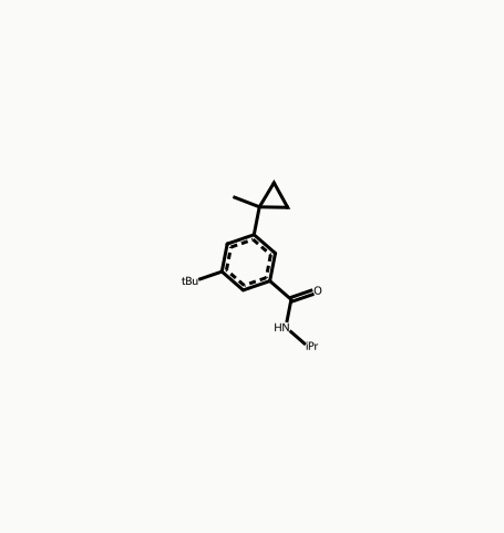 CC(C)NC(=O)c1cc(C(C)(C)C)cc(C2(C)CC2)c1